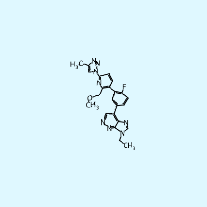 CCn1cnc2c(-c3ccc(F)c(-c4ccc(-n5cc(C)nn5)nc4COC)c3)cnnc21